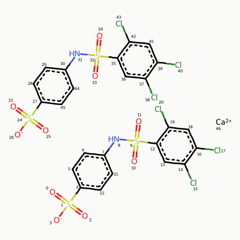 O=S(=O)([O-])c1ccc(NS(=O)(=O)c2cc(Cl)c(Cl)cc2Cl)cc1.O=S(=O)([O-])c1ccc(NS(=O)(=O)c2cc(Cl)c(Cl)cc2Cl)cc1.[Ca+2]